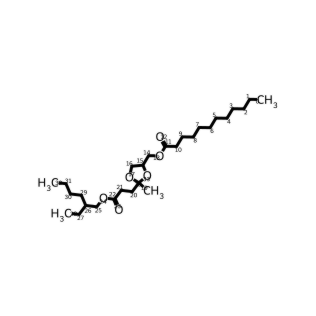 CCCCCCCCCCCC(=O)OCC1COC(C)(CCC(=O)OCC(CC)CCCC)O1